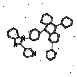 c1ccc(-c2ccc3c(-c4ccccc4)c4ccccc4c(-c4ccc(-n5c(-c6cccnc6)nc6ccccc65)cc4)c3c2)cc1